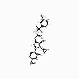 COc1ccc(-c2nn(CC(=O)NC(C)(C)c3cccc(C(F)(F)F)c3)c(=O)n2C2CC2)c(C)c1